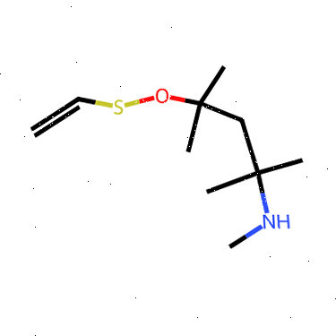 C=CSOC(C)(C)CC(C)(C)NC